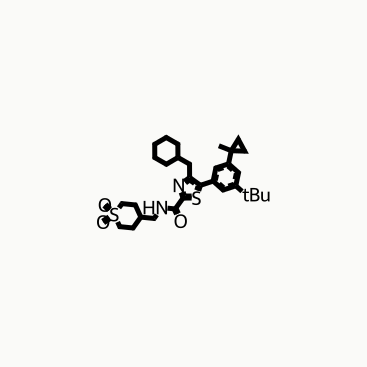 CC(C)(C)c1cc(-c2sc(C(=O)NCC3CCS(=O)(=O)CC3)nc2CC2CCCCC2)cc(C2(C)CC2)c1